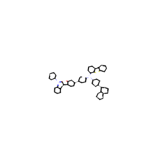 c1ccc(-n2c3ccccc3c3c4ccc(-c5ccc(N(c6ccc(-c7cccc8ccccc78)cc6)c6cccc7c6sc6ccccc67)cc5)cc4oc32)cc1